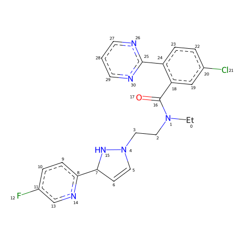 CCN(CCN1C=CC(c2ccc(F)cn2)N1)C(=O)c1cc(Cl)ccc1-c1ncccn1